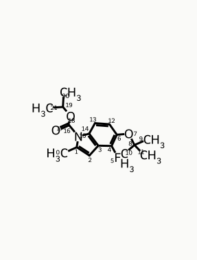 Cc1cc2c(F)c(OC(C)(C)C)ccc2n1C(=O)OC(C)C